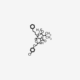 C=C(C)C(C(=O)OC)N1C(=O)C(NC(=O)COc2ccc(Cl)cc2)C1S(=O)OCCCc1ccccc1